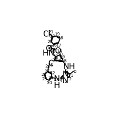 Cc1cnc2nc1Nc1ccc(NS(=O)(=O)c3cccc(Cl)c3)c(c1)CCc1cccc(c1)N2